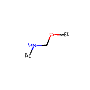 [CH2]C(=O)NCOCC